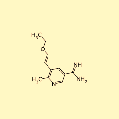 CCO/C=C/c1cc(C(=N)N)cnc1C